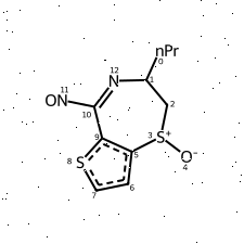 CCCC1C[S+]([O-])c2ccsc2C(N=O)=N1